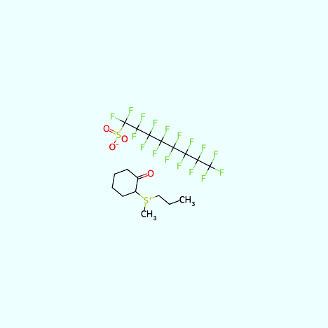 CCC[S+](C)C1CCCCC1=O.O=S(=O)([O-])C(F)(F)C(F)(F)C(F)(F)C(F)(F)C(F)(F)C(F)(F)C(F)(F)C(F)(F)F